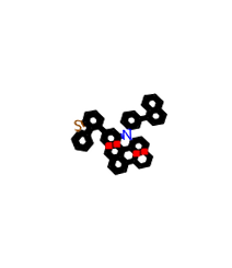 c1cc(-c2cccc3ccccc23)cc(N(c2cccc(-c3cccc4sc5ccccc5c34)c2)c2ccccc2-c2cccc3cccc(C4CCCCC4)c23)c1